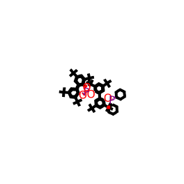 CC(C)(C)c1cc(-c2cc(C(C)(C)C)cc(C(C)(C)C)c2Op2oc3c(C(C)(C)C)cc(C(C)(C)C)cc3c3cc(C(C)(C)C)cc(C(C)(C)C)c3o2)c(OP(C2CCCCC2)C2CCCCC2)c(C(C)(C)C)c1